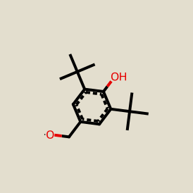 CC(C)(C)c1cc(C[O])cc(C(C)(C)C)c1O